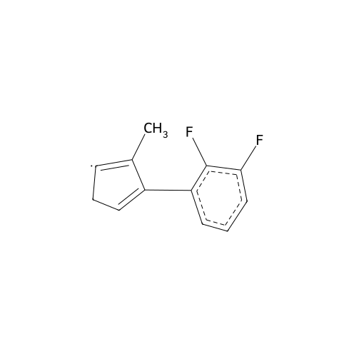 CC1=[C]CC=C1c1cccc(F)c1F